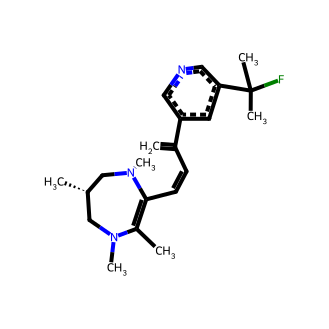 C=C(/C=C\C1=C(C)N(C)C[C@H](C)CN1C)c1cncc(C(C)(C)F)c1